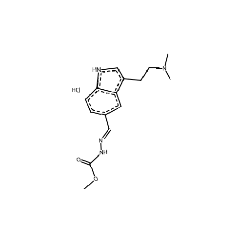 COC(=O)NN=Cc1ccc2[nH]cc(CCN(C)C)c2c1.Cl